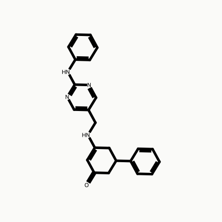 O=C1C=C(NCc2cnc(Nc3ccccc3)nc2)CC(c2ccccc2)C1